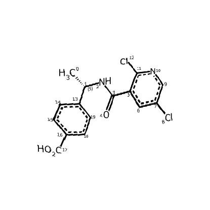 C[C@H](NC(=O)c1cc(Cl)cnc1Cl)c1ccc(C(=O)O)cc1